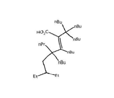 CCCCC(=C(C(=O)O)C(CCCC)(CCCC)CCCC)C(CCC)(CCCC)CC(CC)CC